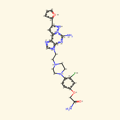 NC(=O)COc1ccc(N2CCN(CCn3cnc4c3nc(N)n3nc(-c5ccco5)cc43)CC2)c(F)c1